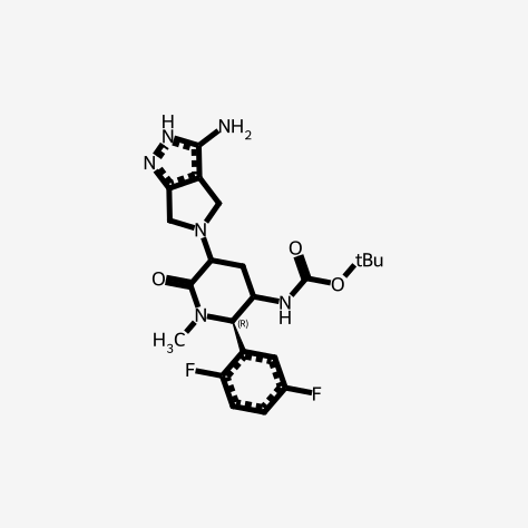 CN1C(=O)C(N2Cc3n[nH]c(N)c3C2)CC(NC(=O)OC(C)(C)C)[C@H]1c1cc(F)ccc1F